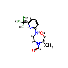 C[C@@H]1CON(c2cccc(C(F)(F)F)n2)CCN1C=O